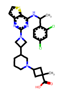 CC(Nc1nc(N2CC(C3CCCN(C4CC(C)(C(=O)O)C4)C3)C2)nc2ccsc12)c1ccc(Cl)cc1Cl